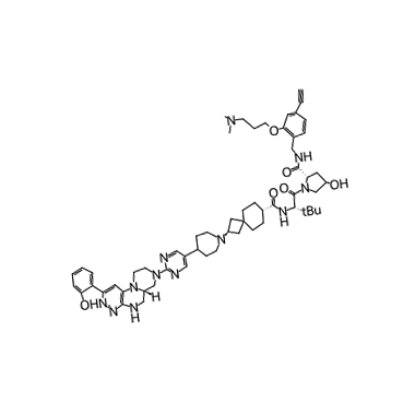 C#Cc1ccc(CNC(=O)[C@@H]2C[C@@H](O)CN2C(=O)[C@@H](NC(=O)[C@H]2CCC3(CC2)C[C@H](N2CCC(c4cnc(N5CCN6c7cc(-c8ccccc8O)nnc7NC[C@H]6C5)nc4)CC2)C3)C(C)(C)C)c(OCCCN(C)C)c1